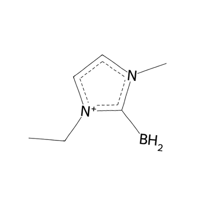 Bc1n(C)cc[n+]1CC